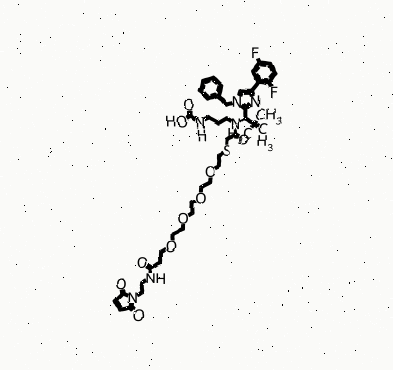 CC(C)(C)[C@H](c1nc(-c2cc(F)ccc2F)cn1Cc1ccccc1)N(CCCNC(=O)O)C(=O)CSCCOCCOCCOCCOCCC(=O)NCCN1C(=O)C=CC1=O